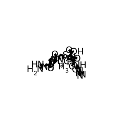 CC(NC(=O)Cn1cnnn1)[C@H]1C(=O)N2C(C(=O)O)=C(S[C@@H]3CN[C@H](C(=O)N4CCN(C(=O)CNC(=N)N)CC4)C3)[C@H](C)[C@H]12